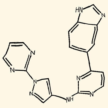 c1cnc(-n2cc(Nc3nccc(-c4ccc5[nH]cnc5c4)n3)cn2)nc1